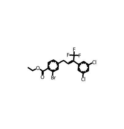 CCOC(=O)c1ccc(CC=C(c2cc(Cl)cc(Cl)c2)C(F)(F)F)cc1Br